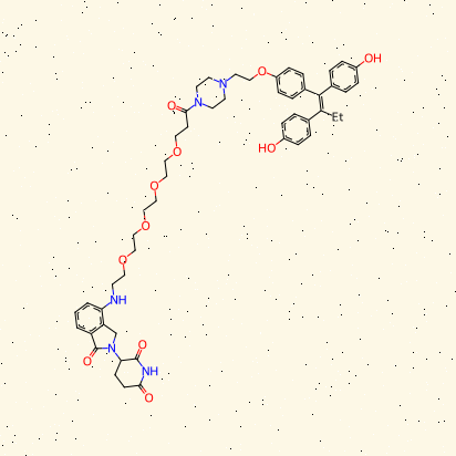 CCC(=C(c1ccc(O)cc1)c1ccc(OCCN2CCN(C(=O)CCOCCOCCOCCOCCNc3cccc4c3CN(C3CCC(=O)NC3=O)C4=O)CC2)cc1)c1ccc(O)cc1